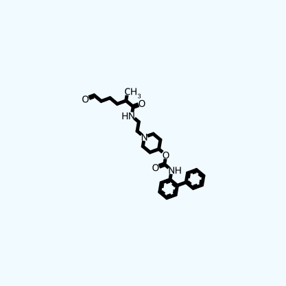 CC(CCCC=O)C(=O)NCCN1CCC(OC(=O)Nc2ccccc2-c2ccccc2)CC1